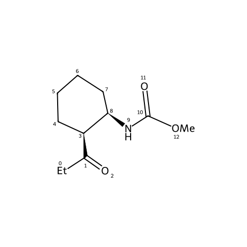 CCC(=O)[C@H]1CCCC[C@H]1NC(=O)OC